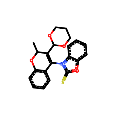 CC1Oc2ccccc2C(n2c(=S)oc3ccccc32)=C1C1OCCCO1